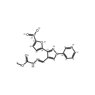 COC(=O)NN=Cc1cn(-c2cccnc2)nc1-c1ccc([N+](=O)[O-])o1